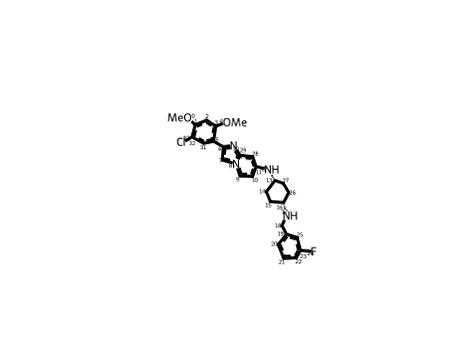 COc1cc(OC)c(-c2cn3ccc(N[C@H]4CC[C@@H](NCc5cccc(F)c5)CC4)cc3n2)cc1Cl